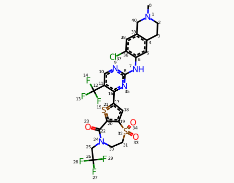 CN1CCc2cc(Nc3ncc(C(F)(F)F)c(-c4cc5c(s4)C(=O)N(CC(F)(F)F)CCS5(=O)=O)n3)c(Cl)cc2C1